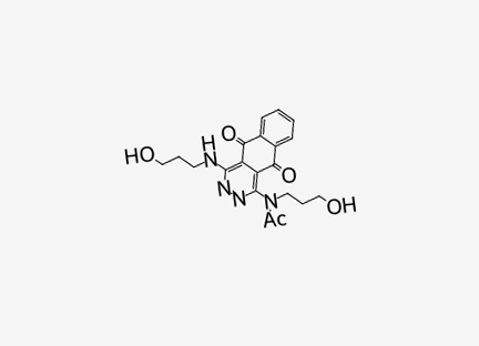 CC(=O)N(CCCO)c1nnc(NCCCO)c2c1C(=O)c1ccccc1C2=O